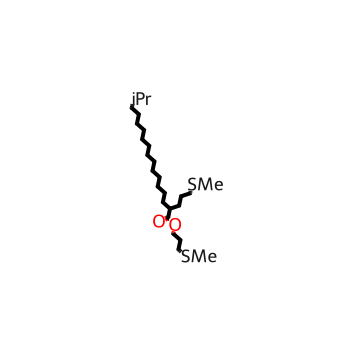 CSCCCOC(=O)C(CCCCCCCCCCCCCC(C)C)CCCSC